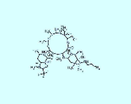 CCCNC[C@]1(O)[C@H](C)O[C@@H](O[C@H]2[C@H](C)[C@@H](O[C@@H]3O[C@H](C)C[C@H]4[C@H]3OC(C(F)(F)F)N4C)[C@](C)(O)C[C@@H](C)CN(C)[C@H](C)[C@@H](O)[C@](C)(O)[C@@H](CC)OC(=O)[C@@H]2C)C[C@@]1(C)OC